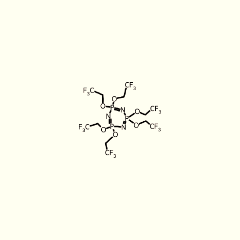 FC(F)(F)COP1(OCC(F)(F)F)=NP(OCC(F)(F)F)(OCC(F)(F)F)=NP(OCC(F)(F)F)(OCC(F)(F)F)=N1